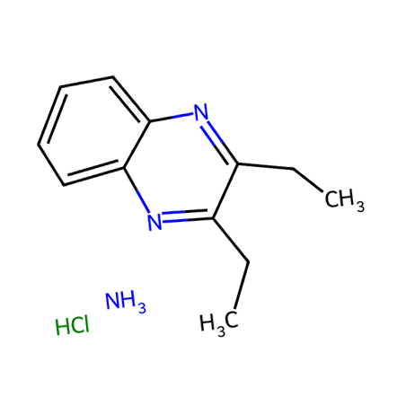 CCc1nc2ccccc2nc1CC.Cl.N